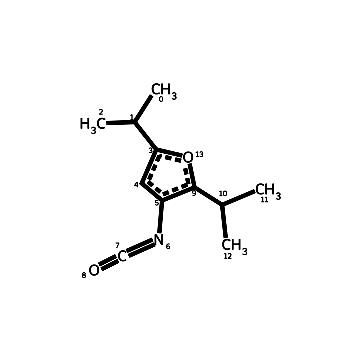 CC(C)c1cc(N=C=O)c(C(C)C)o1